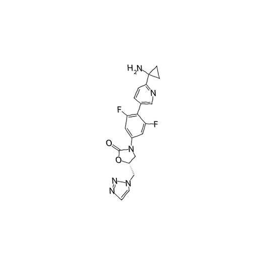 NC1(c2ccc(-c3c(F)cc(N4C[C@H](Cn5ccnn5)OC4=O)cc3F)cn2)CC1